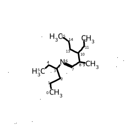 CCCC(CC)/N=C/C(C)C(CC)CCC